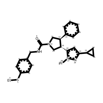 CCSc1ccc(CNC(=O)N2C[C@@H](c3ccccc3)[C@H](c3cc(C4CC4)nn3C(C)C)C2)cc1